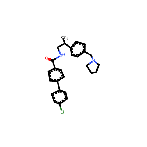 CC(CNC(=O)c1ccc(-c2ccc(Cl)cc2)cc1)c1ccc(CN2CCCC2)cc1